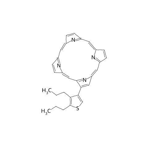 CCCc1scc(C2=CC3=CC4=NC(=CC5=NC(=CC6=NC(=CC2=N3)C=C6)C=C5)C=C4)c1CCC